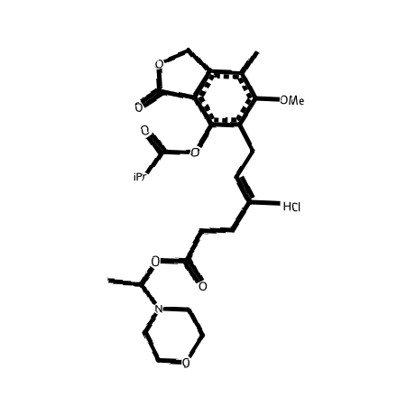 COc1c(C)c2c(c(OC(=O)C(C)C)c1C/C=C(\C)CCC(=O)OC(C)N1CCOCC1)C(=O)OC2.Cl